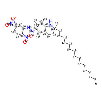 CCCCCCCCCCCCCCCCC1(C)CCc2c(C)c(/N=N/c3cc([N+](=O)[O-])ccc3[N+](=O)[O-])c(C)c(C)c2N1